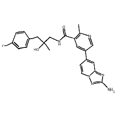 Cc1ncc(-c2ccn3nc(N)nc3c2)cc1C(=O)NCC(C)(O)Cc1ccc(F)cc1